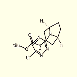 CC(C)(C)OC(=O)NC1C[C@H]2CC[C@@H](C1)N2c1ncc(Cl)nn1